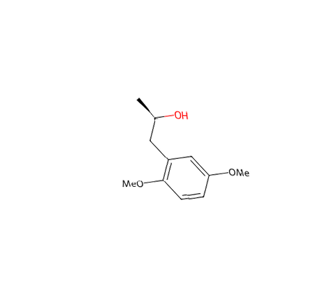 COc1ccc(OC)c(C[C@@H](C)O)c1